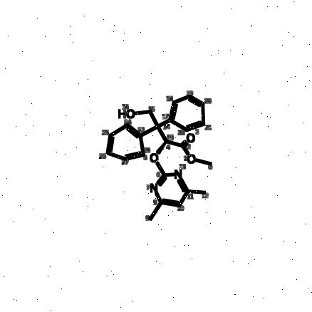 COC(=O)[C@@H](Oc1nc(C)cc(C)n1)C(CO)(c1ccccc1)c1ccccc1